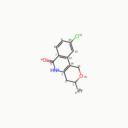 CC(C)C1Cc2[nH]c(=O)c3ccc(Cl)cc3c2CO1